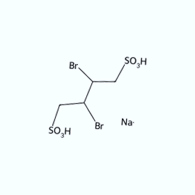 O=S(=O)(O)CC(Br)C(Br)CS(=O)(=O)O.[Na]